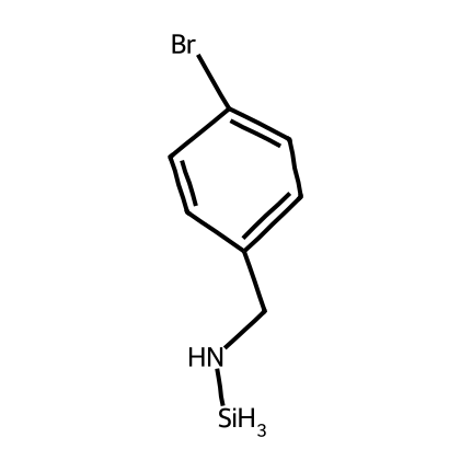 [SiH3]NCc1ccc(Br)cc1